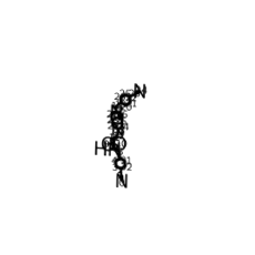 N#Cc1ccc(CNS(=O)(=O)CCN2CC3CN(Cc4ccc(C#N)cc4)CC(C2)O3)cc1